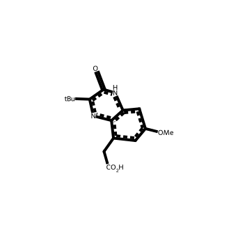 COc1cc(CC(=O)O)c2nc(C(C)(C)C)c(=O)[nH]c2c1